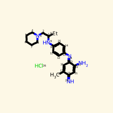 CCC(CN1CCCCC1)Nc1ccc(N=C2C=C(C)C(=N)C=C2N)cc1.Cl